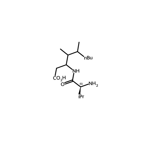 CCCCC(C)C(C)C(CC(=O)O)NC(=O)[C@@H](N)C(C)C